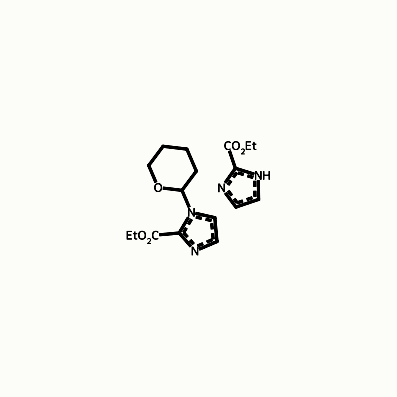 CCOC(=O)c1ncc[nH]1.CCOC(=O)c1nccn1C1CCCCO1